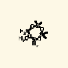 C[Si]1(C)O[SiH2]O[SiH2]O[Si](C)(C)O1.O